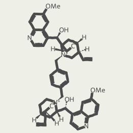 C=C[C@H]1C[N@+]2(Cc3ccc(C[N@@+]45CC[C@@H](C[C@H]4[C@H](O)c4ccnc6ccc(OC)cc46)[C@@H](C=C)C5)cc3)CC[C@H]1C[C@H]2[C@H](O)c1ccnc2ccc(OC)cc12